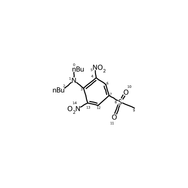 CCCCN(CCCC)c1c([N+](=O)[O-])cc(S(C)(=O)=O)cc1[N+](=O)[O-]